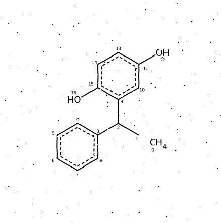 C.CC(c1ccccc1)c1cc(O)ccc1O